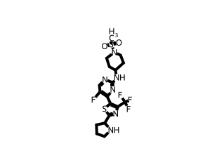 CS(=O)(=O)N1CCC(Nc2ncc(F)c(-c3sc(C4CCCN4)nc3C(F)(F)F)n2)CC1